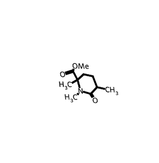 COC(=O)C1(C)CCC(C)C(=O)N1C